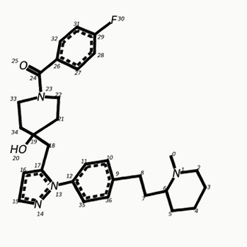 CN1CCCCC1CCc1ccc(-n2nccc2CC2(O)CCN(C(=O)c3ccc(F)cc3)CC2)cc1